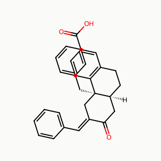 O=C1C[C@@H]2CCc3cc(C(=O)O)ccc3[C@]2(Cc2ccccc2)C/C1=C\c1ccccc1